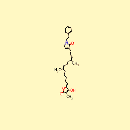 CC1=C(O)/C(=C/CCCC/C(C)=C\CC/C(C)=C\CCC2=CCN(CCc3ccccc3)C2=O)OC1=O